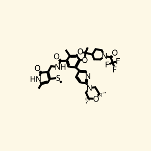 CSc1cc(C)[nH]c(=O)c1CNC(=O)c1cc(-c2ccc(N3C[C@@H](C)O[C@@H](C)C3)nc2)c2c(c1C)OC(C)(C1CCN(C(=O)C(F)(F)F)CC1)O2